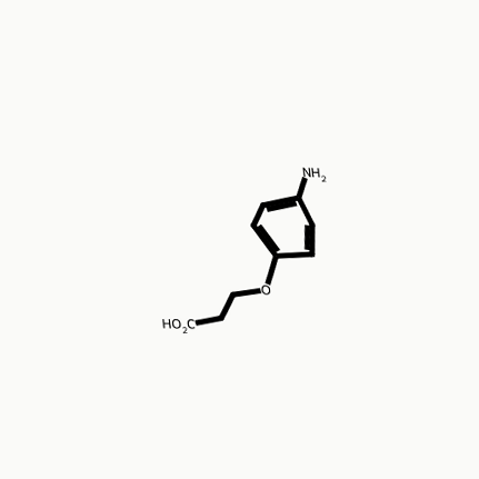 Nc1ccc(OCCC(=O)O)cc1